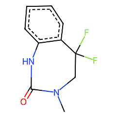 CN1CC(F)(F)c2ccccc2NC1=O